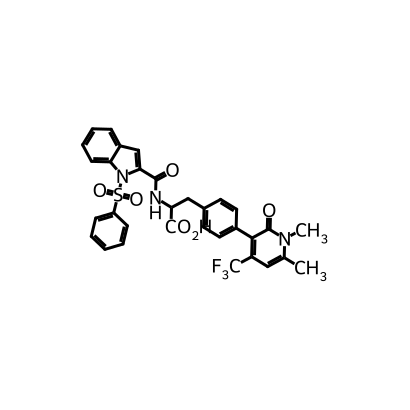 Cc1cc(C(F)(F)F)c(-c2ccc(CC(NC(=O)c3cc4ccccc4n3S(=O)(=O)c3ccccc3)C(=O)O)cc2)c(=O)n1C